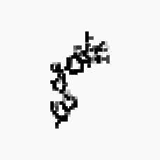 Cc1cnc2c(c1)CCN2C1CCN(C(=O)c2ccc(C3(C)NC(=O)NC3=O)cc2)C1